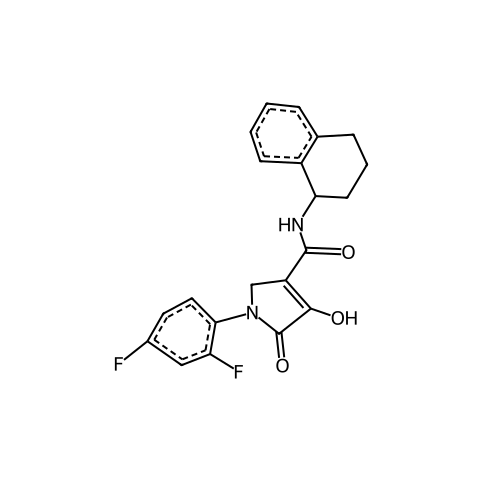 O=C(NC1CCCc2ccccc21)C1=C(O)C(=O)N(c2ccc(F)cc2F)C1